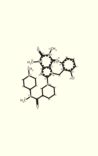 CN1CCC(N(C)C(=O)C2CCCN(c3nc4c(c(=O)n(C)c(=O)n4C)n3Cc3c(F)cccc3Cl)C2)CC1